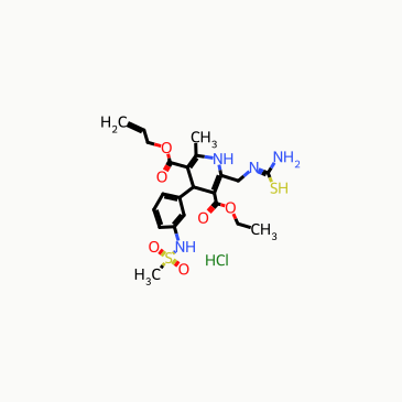 C=CCOC(=O)C1=C(C)NC(CN=C(N)S)=C(C(=O)OCC)C1c1cccc(NS(C)(=O)=O)c1.Cl